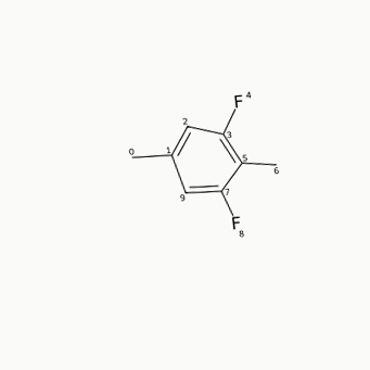 Cc1cc(F)c(C)c(F)c1